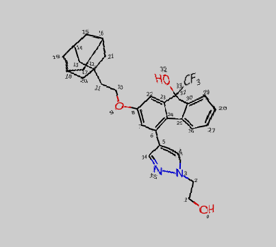 OCCn1cc(-c2cc(OCCC34CC5CC(CC(C5)C3)C4)cc3c2-c2ccccc2C3(O)C(F)(F)F)cn1